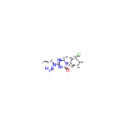 C#CCN(N)c1nc(C)n(-c2cccc(Cl)c2)c(=O)n1